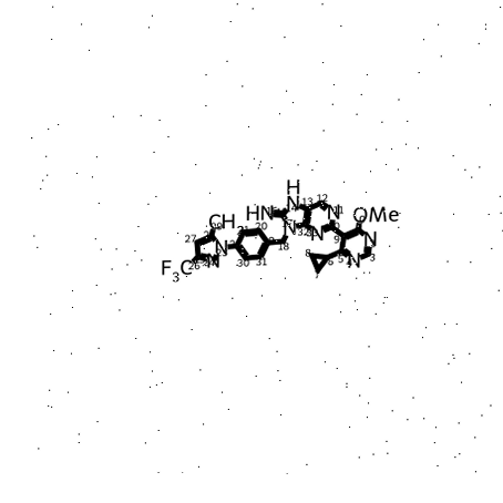 COc1ncnc(C2CC2)c1-c1ncc2[nH]c(=N)n(Cc3ccc(-n4nc(C(F)(F)F)cc4C)cc3)c2n1